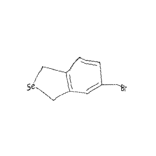 Brc1ccc2c(c1)C[Se]C2